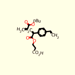 C=CC(=O)OCCCC.C=Cc1ccc(C(=C)C(=O)OCCC(=O)O)cc1